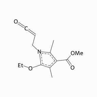 CCOc1c(C)c(C(=O)OC)c(C)n1CC=C=O